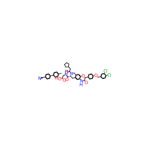 N#Cc1ccc(-c2ccc(C[C@H](NC(=O)[C@@H]3Cc4cc5c(cc4CN3C(=O)CC3CCCC3)OC(c3ccc(OCc4ccc(Cl)c(Cl)c4)cc3)C(=O)N5)C(=O)O)cc2)cc1